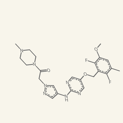 COc1cc(C)c(F)c(COc2cnc(Nc3cnn(CC(=O)N4CCN(C)CC4)c3)nc2)c1F